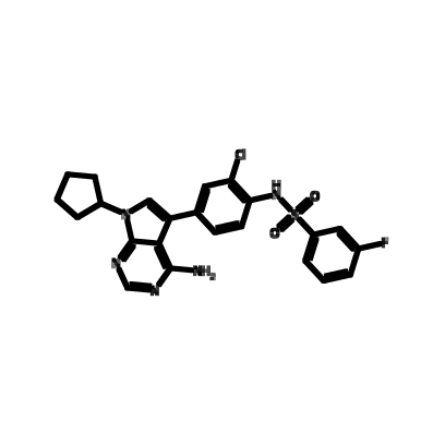 Nc1ncnc2c1c(-c1ccc(NS(=O)(=O)c3cccc(F)c3)c(Cl)c1)cn2C1CCCC1